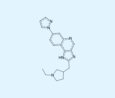 CCN1CCC(Cc2nc3cnc4cc(-n5cccn5)ccc4c3[nH]2)C1